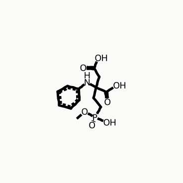 COP(=O)(O)CCC(CC(=O)O)(Nc1ccccc1)C(=O)O